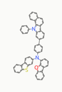 c1ccc(-n2c3cc(-c4ccc(N(c5ccc6c(c5)sc5ccccc56)c5cccc6c5oc5ccccc56)cc4)ccc3c3ccc4ccccc4c32)cc1